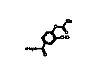 CCCCCCCC(=O)c1ccc(OC(=O)C(C)(C)C)c([C]=O)c1